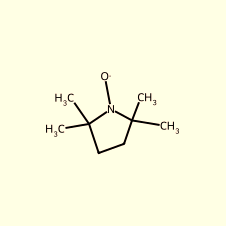 CC1(C)CCC(C)(C)N1[O]